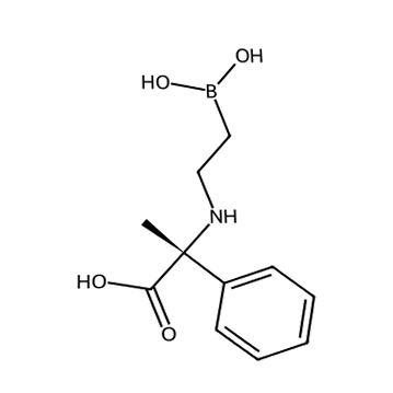 C[C@](NCCB(O)O)(C(=O)O)c1ccccc1